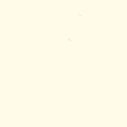 Cl.Cl.NCCNCCCOc1ccc(Cl)cc1Cc1ccccc1